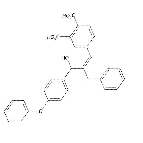 O=C(O)c1ccc(C=C(Cc2ccccc2)C(O)c2ccc(Oc3ccccc3)cc2)cc1C(=O)O